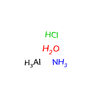 Cl.N.O.[AlH3]